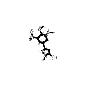 COc1cc(-c2cc(O)n(C)n2)cc([N+](=O)[O-])c1OC